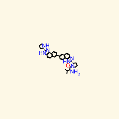 CC(C)[C@H](N)C(=O)N1CCC[C@H]1c1nc2ccc3cc(-c4ccc5c(ccc6[nH]c([C@@H]7CCCN7)nc65)c4)ccc3c2[nH]1